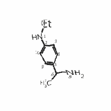 CCNc1ccc(C(C)N)cc1